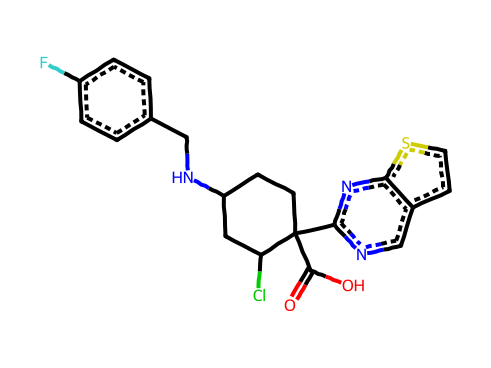 O=C(O)C1(c2ncc3ccsc3n2)CCC(NCc2ccc(F)cc2)CC1Cl